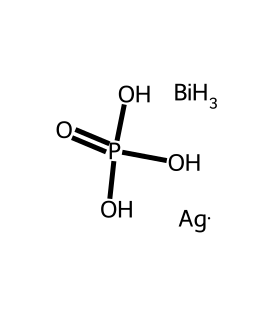 O=P(O)(O)O.[Ag].[BiH3]